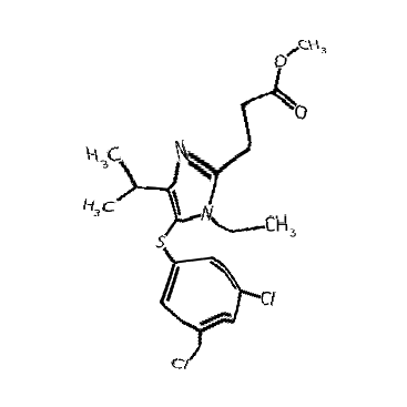 CCn1c(CCC(=O)OC)nc(C(C)C)c1Sc1cc(Cl)cc(Cl)c1